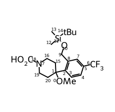 COC1(c2ccc(C(F)(F)F)cc2CO[Si](C)(C)C(C)(C)C)CCN(C(=O)O)CC1